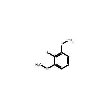 CSc1cccc(SC)c1[S]